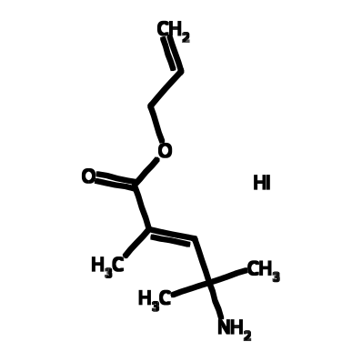 C=CCOC(=O)C(C)=CC(C)(C)N.I